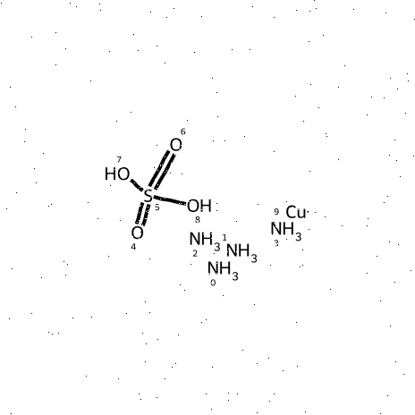 N.N.N.N.O=S(=O)(O)O.[Cu]